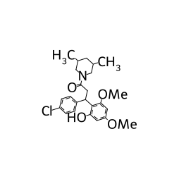 COc1cc(O)c(C(CC(=O)N2CC(C)CC(C)C2)c2ccc(Cl)cc2)c(OC)c1